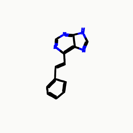 C(=Cc1ncnc2[nH]cnc12)c1ccccc1